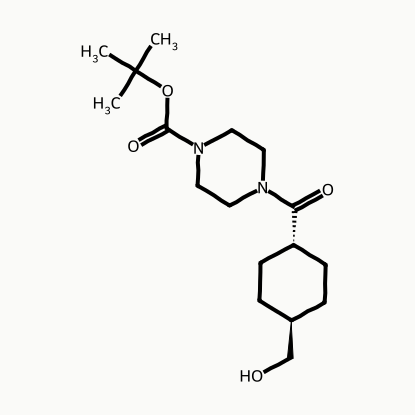 CC(C)(C)OC(=O)N1CCN(C(=O)[C@H]2CC[C@H](CO)CC2)CC1